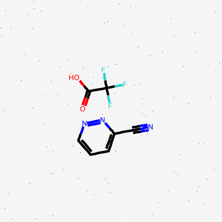 N#Cc1cccnn1.O=C(O)C(F)(F)F